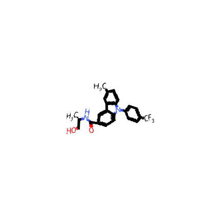 Cc1ccc2c(c1)c1cc(C(=O)N[C@H](C)CO)ccc1n2-c1ccc(C(F)(F)F)cc1